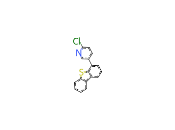 Clc1ccc(-c2cccc3c2sc2ccccc23)cn1